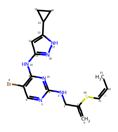 C=C(CNc1ncc(Br)c(Nc2cc(C3CC3)[nH]n2)n1)S/C=C\C